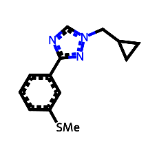 CSc1cccc(-c2ncn(CC3CC3)n2)c1